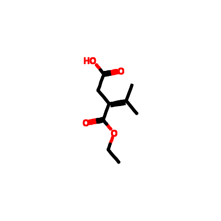 CCOC(=O)C(CC(=O)O)=C(C)C